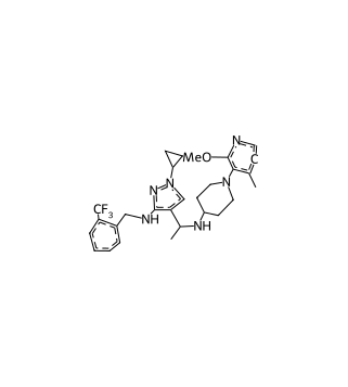 COc1nccc(C)c1N1CCC(NC(C)c2cn(C3CC3)nc2NCc2ccccc2C(F)(F)F)CC1